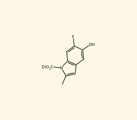 CCOC(=O)n1c(C)cc2cc(O)c(F)cc21